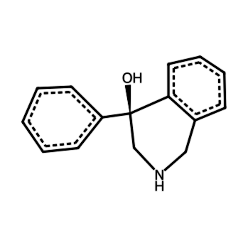 O[C@]1(c2ccccc2)CNCc2ccccc21